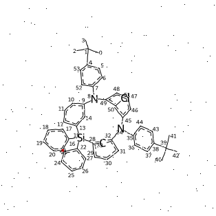 CC(C)(C)c1ccc(N2c3cccc(c3)[Si](c3ccccc3)(c3ccccc3)c3cccc(c3)N(c3ccc(C(C)(C)C)cc3)c3cccc2c3Cl)cc1